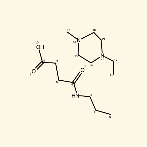 CCCNC(=O)CCC(=O)O.CCN1CCN(C)CC1